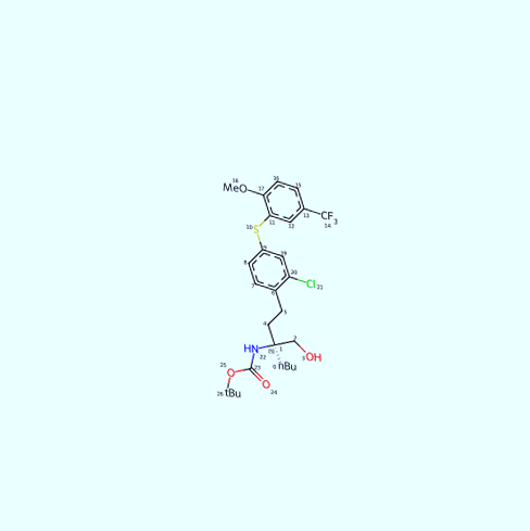 CCCC[C@@](CO)(CCc1ccc(Sc2cc(C(F)(F)F)ccc2OC)cc1Cl)NC(=O)OC(C)(C)C